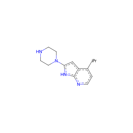 CC(C)c1ccnc2[nH]c(N3CCNCC3)cc12